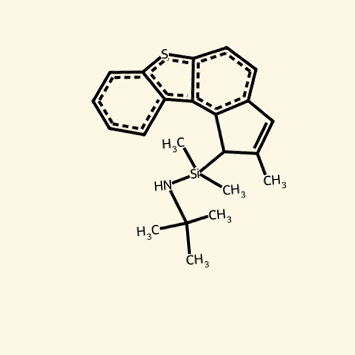 CC1=Cc2ccc3sc4ccccc4c3c2C1[Si](C)(C)NC(C)(C)C